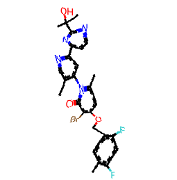 Cc1cc(COc2cc(C)n(-c3cc(-c4ccnc(C(C)(C)O)n4)ncc3C)c(=O)c2Br)c(F)cc1F